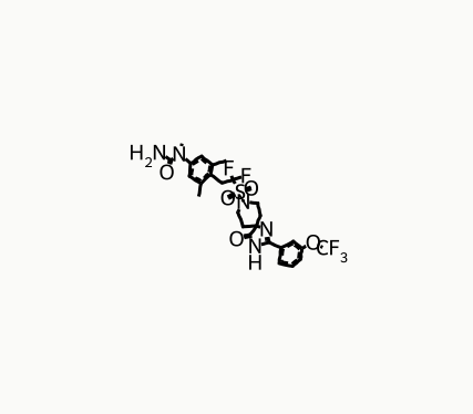 Cc1cc(N(C)C(N)=O)cc(C)c1CC(F)(F)S(=O)(=O)N1CCC2(CC1)N=C(c1cccc(OC(F)(F)F)c1)NC2=O